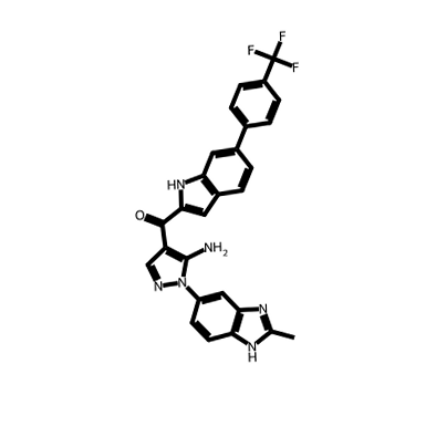 Cc1nc2cc(-n3ncc(C(=O)c4cc5ccc(-c6ccc(C(F)(F)F)cc6)cc5[nH]4)c3N)ccc2[nH]1